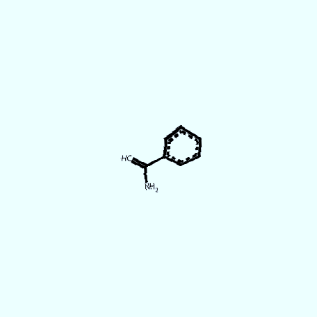 [CH]=C(N)c1ccccc1